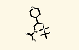 CC(C)(C)[Si](C)(C)OC(CNC(=O)O)C1CCNCC1